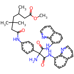 COC(=O)CC(C)CC(C)(C)CC(=O)Nc1ccc(C(N)(C(=O)Nc2cccc3cccnc23)C(=O)Nc2cccc3cccnc23)cc1